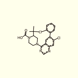 CC(C)(C)C1CN(c2ncnc3cc(Cl)c(-c4ccccc4Cl)cc23)CCN1C(=O)O